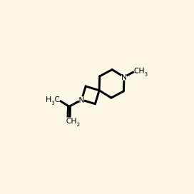 C=C(C)N1CC2(CCN(C)CC2)C1